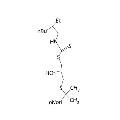 CCCCCCCCCC(C)(C)SCC(O)CSC(=S)NCC(CC)CCCC